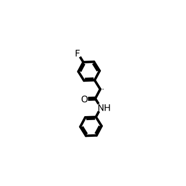 O=C([CH]c1ccc(F)cc1)Nc1ccccc1